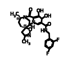 CC1=NO[C@@]2(CC[C@H](C)N3C[C@H]2N2C=C(C(=O)NCc4ccc(F)cc4F)C(O)C(O)=C2C3=O)C1